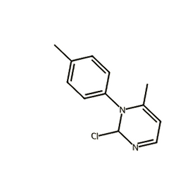 CC1=CC=NC(Cl)N1c1ccc(C)cc1